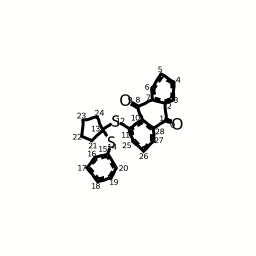 O=C1c2ccccc2C(=O)c2c(SC3(Sc4ccccc4)CCCC3)cccc21